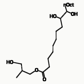 CCCCCCCCC(O)C(O)CCCCCCCC(=O)OCC(C)CO